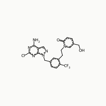 Nc1nc(Cl)nc2c1cnn2Cc1ccc(C(F)(F)F)c(CCn2cc(CO)ccc2=O)c1